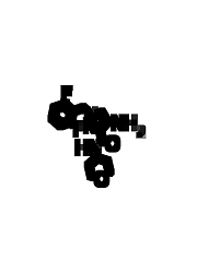 Nc1cn(Cc2c(F)cccc2F)nc1C(=O)NC1CCOCC1